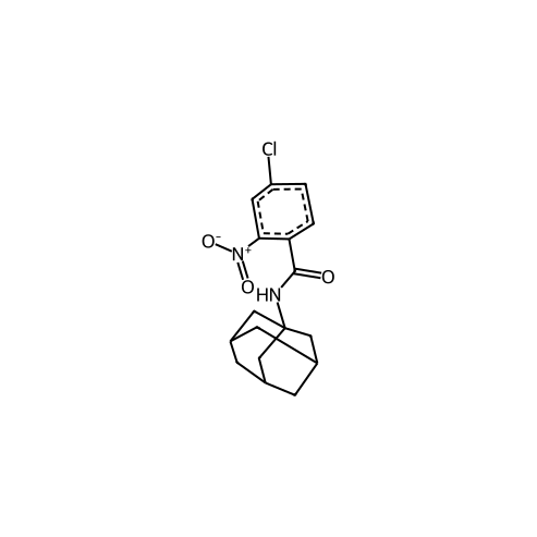 O=C(NC12CC3CC(CC(C3)C1)C2)c1ccc(Cl)cc1[N+](=O)[O-]